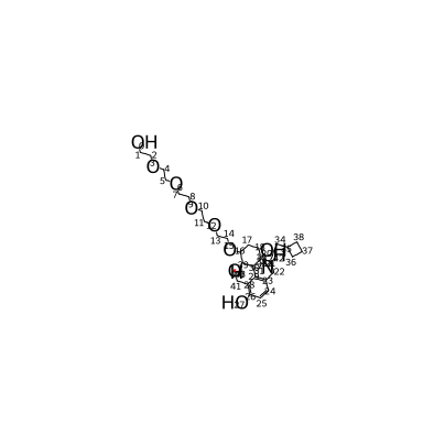 OCCOCCOCCOCCOCCOC1CC[C@@]2(O)[C@H]3Cc4ccc(O)c5c4[C@@]2(CCN3CC2CCC2)[C@H]1OC5